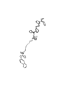 C=CC(=O)OCCOC(=O)NCCCCCCNC(=O)Oc1ccc2ccccc2c1